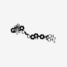 CCN(CC)c1ccc(-c2ccc3cc(OCCCOc4cccc(S(=O)(=O)OC5CCCCO5)c4C)ccc3n2)cc1